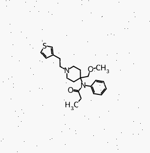 CCC(=O)N(c1ccccc1)C1(COC)CCN(CCc2ccsc2)CC1